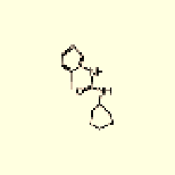 O=C(Nc1ccccc1I)NC1CCCCC1